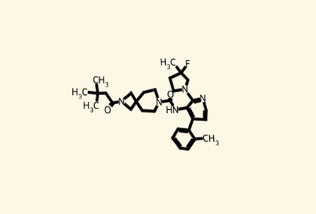 Cc1ccccc1-c1ccnc(N2CCC(C)(F)C2)c1NC(=O)N1CCC2(CC1)CN(C(=O)CC(C)(C)C)C2